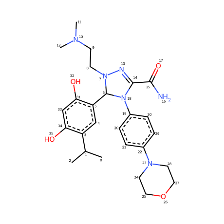 CC(C)c1cc(C2N(CCN(C)C)N=C(C(N)=O)N2c2ccc(N3CCOCC3)cc2)c(O)cc1O